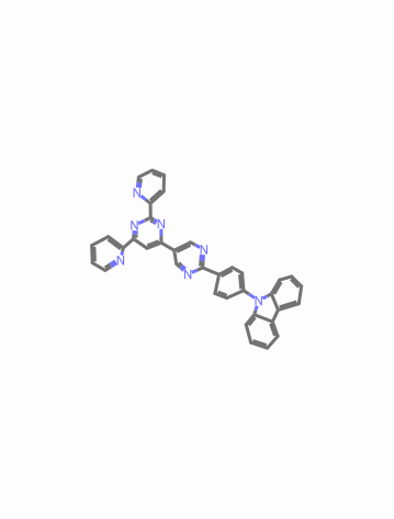 c1ccc(-c2cc(-c3cnc(-c4ccc(-n5c6ccccc6c6ccccc65)cc4)nc3)nc(-c3ccccn3)n2)nc1